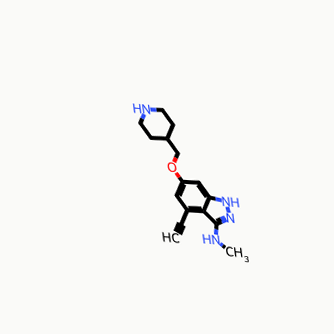 C#Cc1cc(OCC2CCNCC2)cc2[nH]nc(NC)c12